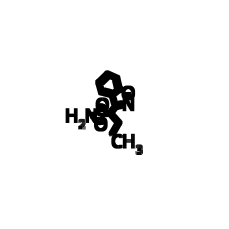 CCCC(c1noc2ccccc12)S(N)(=O)=O